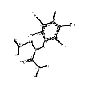 Cc1c(F)c(F)c(CC(NC(C)C)C(=O)C(C)C)c(F)c1F